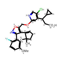 COc1ccc(F)c(-c2noc(COc3cc(C(CC(=O)O)C4CC4)c(Cl)cn3)c2C2=CCCC2(C)C)c1